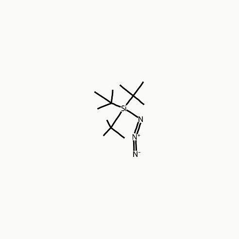 CC(C)(C)[Si](N=[N+]=[N-])(C(C)(C)C)C(C)(C)C